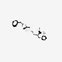 NC(=O)C(CCNC(=O)C1=COC(Cc2ccccc2)O1)Cc1ccccc1